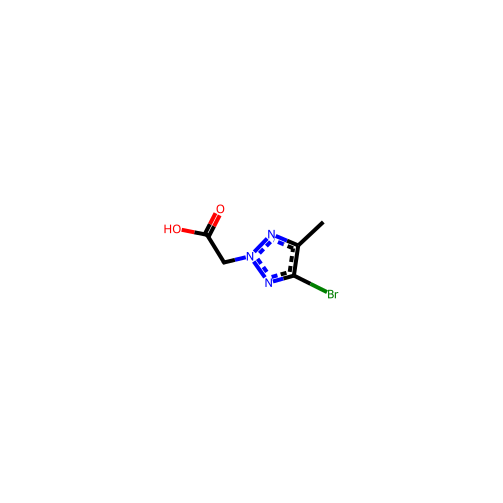 Cc1nn(CC(=O)O)nc1Br